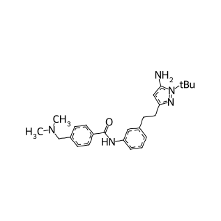 CN(C)Cc1ccc(C(=O)Nc2cccc(CCc3cc(N)n(C(C)(C)C)n3)c2)cc1